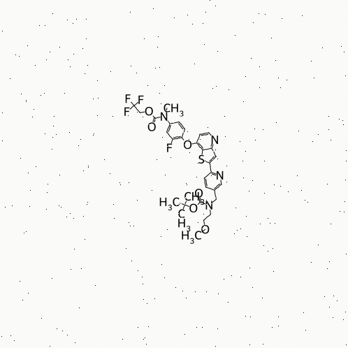 COCCN(Cc1ccc(-c2cc3nccc(Oc4ccc(N(C)C(=O)OCC(F)(F)F)cc4F)c3s2)nc1)C(=O)OC(C)(C)C